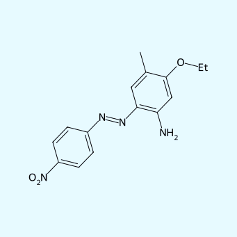 CCOc1cc(N)c(/N=N/c2ccc([N+](=O)[O-])cc2)cc1C